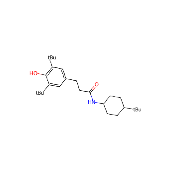 CC(C)(C)c1cc(CCC(=O)NC2CCC(C(C)(C)C)CC2)cc(C(C)(C)C)c1O